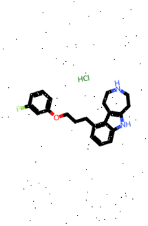 Cl.Fc1cccc(OCCCc2cccc3[nH]c4c(c23)CCNCC4)c1